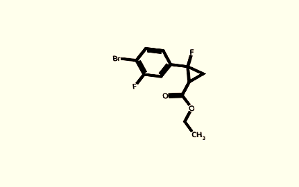 CCOC(=O)C1CC1(F)c1ccc(Br)c(F)c1